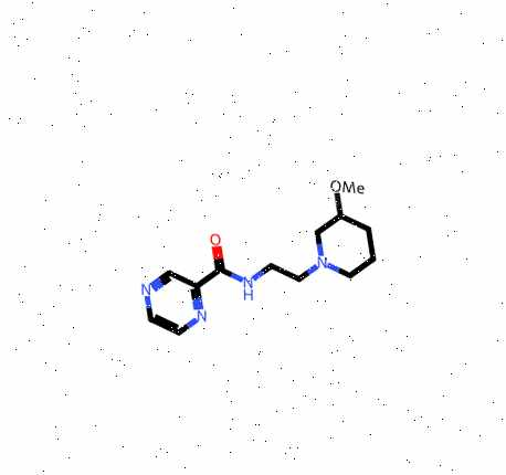 COC1CCCN(CCNC(=O)c2cnccn2)C1